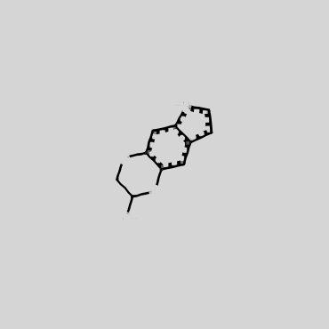 CC1COc2cc3[nH]ccc3cc2O1